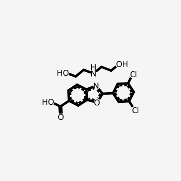 O=C(O)c1ccc2nc(-c3cc(Cl)cc(Cl)c3)oc2c1.OCCNCCO